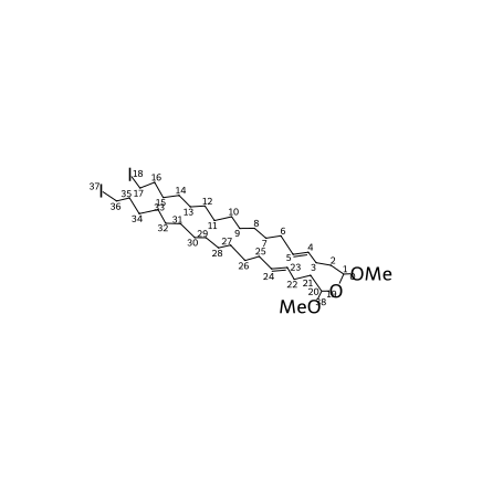 COC(CCC=CCCCCCCCCCCCCI)OC(CCC=CCCCCCCCCCCCCI)OC